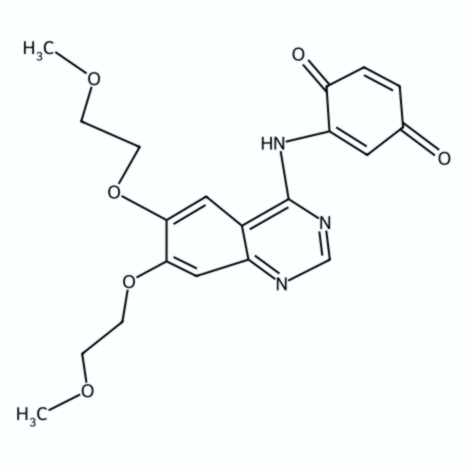 COCCOc1cc2ncnc(NC3=CC(=O)C=CC3=O)c2cc1OCCOC